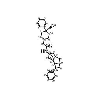 N#CC1(c2ccccc2)CCN(CC(=O)NC23CC4CC5CC(c6ccccc6)(C2)C5C4C3)CC1